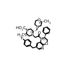 C[C@@H]1CN(C[C@H]2CN(C(=O)O)[C@H](C)CN2CC(=O)N2c3cc(Cc4ccc(F)cc4)cnc3OC[C@@H]2c2ccccc2)CCO1